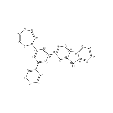 C1=CCC(c2cc(C3=CCCC=C3)cc(-c3ccc4c(c3)[nH]c3ccccc34)c2)C=CC1